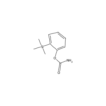 C[Si](C)(C)c1ccccc1OC(N)=O